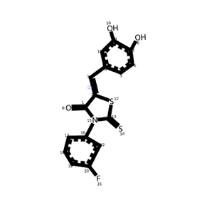 O=C1/C(=C/c2ccc(O)c(O)c2)SC(=S)N1c1cccc(F)c1